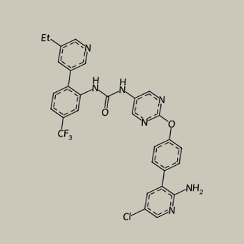 CCc1cncc(-c2ccc(C(F)(F)F)cc2NC(=O)Nc2cnc(Oc3ccc(-c4cc(Cl)cnc4N)cc3)nc2)c1